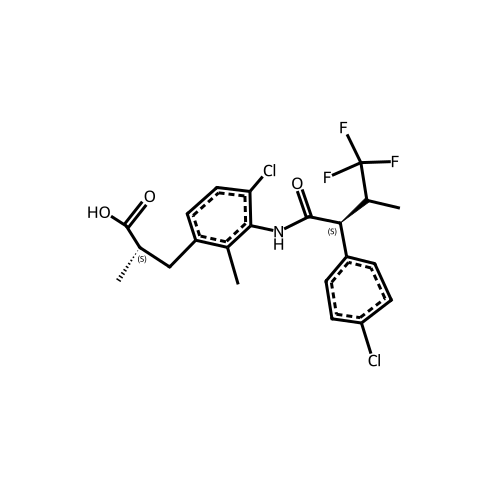 Cc1c(C[C@H](C)C(=O)O)ccc(Cl)c1NC(=O)[C@H](c1ccc(Cl)cc1)C(C)C(F)(F)F